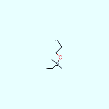 [CH2]CCO[Si](C)(C)CC